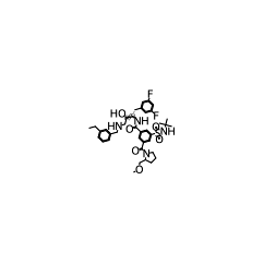 CCc1cccc(CNC[C@@H](O)[C@H](Cc2cc(F)cc(F)c2)NC(=O)c2cc(C(=O)N3CCCC3COC)cc(S(=O)(=O)NC(C)(C)C)c2)c1